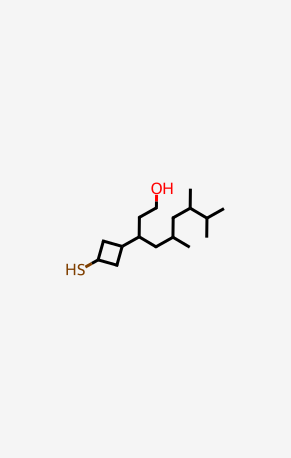 CC(CC(C)C(C)C)CC(CCO)C1CC(S)C1